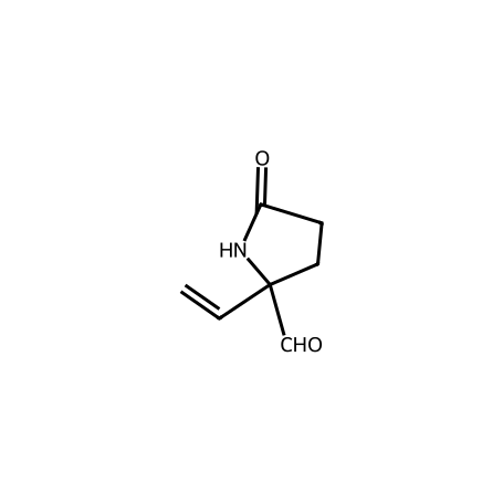 C=CC1(C=O)CCC(=O)N1